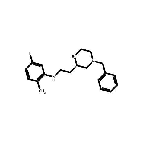 Cc1ccc(F)cc1NCC[C@@H]1CN(Cc2ccccc2)CCN1